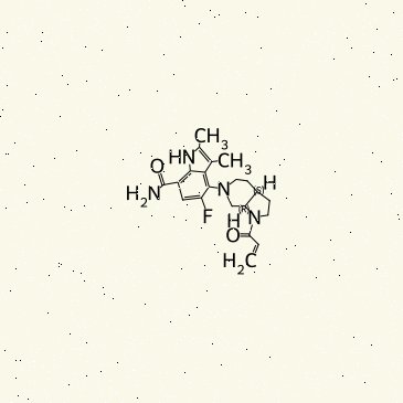 C=CC(=O)N1CC[C@@H]2CCN(c3c(F)cc(C(N)=O)c4[nH]c(C)c(C)c34)C[C@@H]21